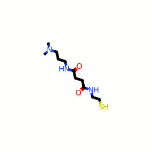 CN(C)CCCNC(=O)CCC(=O)NCCS